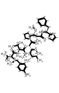 CC[C@H](C)[C@@H]([C@H](CC(=O)N1CCC[C@H]1[C@H](OC)[C@@H](C)C(=O)N[C@@H](Cc1ccccc1)c1nccs1)OC)N(C)C(=O)[C@@H](NC(=O)[C@H](C(C)C)N(C)Cc1ccc(N)cc1)C(C)C